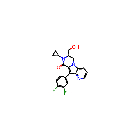 O=C1c2c(-c3ccc(F)c(F)c3)c3ncccc3n2CC(CO)N1C1CC1